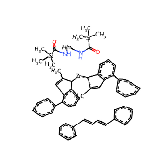 C(C=Cc1ccccc1)=Cc1ccccc1.CC1=Cc2c(-c3ccccc3)cccc2[CH]1[Zr][CH]1C(C)=Cc2c(-c3ccccc3)cccc21.C[Si](C)(C)C(=O)[NH][InH][NH]C(=O)[Si](C)(C)C